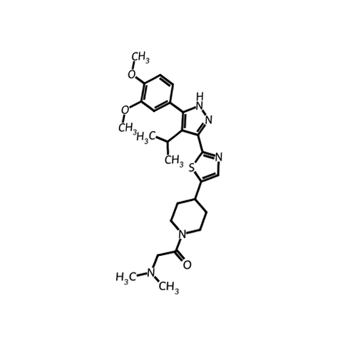 COc1ccc(-c2[nH]nc(-c3ncc(C4CCN(C(=O)CN(C)C)CC4)s3)c2C(C)C)cc1OC